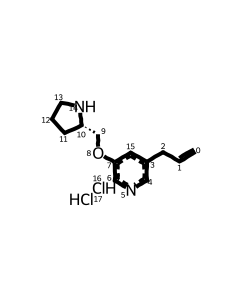 C=CCc1cncc(OC[C@@H]2CCCN2)c1.Cl.Cl